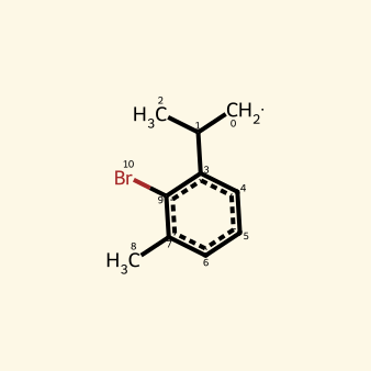 [CH2]C(C)c1cccc(C)c1Br